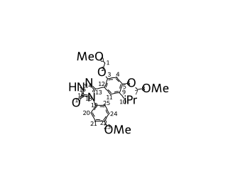 COCOc1cc(OCOC)c(C(C)C)cc1-c1n[nH]c(=O)n1-c1ccc(OC)cc1